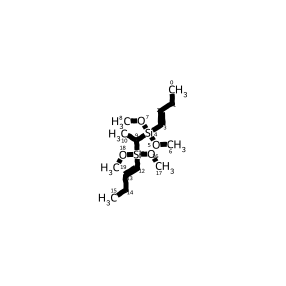 CCC=C[Si](OC)(OC)C(C)[Si](C=CCC)(OC)OC